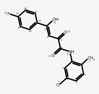 Cc1ccc(Cl)cc1NC(=O)C(=O)C=C(O)c1ccc(F)cc1